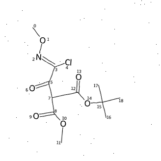 CON=C(Cl)C(=O)C(C(=O)OC)C(=O)OC(C)(C)C